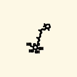 CC(C=CC1=C(C)CCCC1(C)C)=CC=C/C(C)=C/CO[C@@H]1O[C@H](CO)[C@@H](O)[C@H](O)[C@H]1O